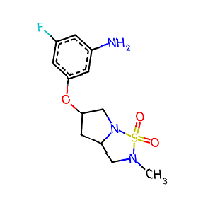 CN1CC2CC(Oc3cc(N)cc(F)c3)CN2S1(=O)=O